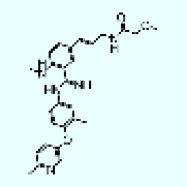 CNc1ccc(/C=C/CNC(=O)COC)cc1C(=N)Nc1ccc(Oc2ccc(C)nc2)c(C)c1